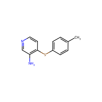 Cc1ccc(Sc2ccncc2N)cc1